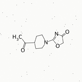 CC(=O)C1CCN(C2=NC(=O)CO2)CC1